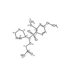 COc1ccc(S(=O)(=O)C(OCC(=O)O)C2CCCCN2)c(OC)c1